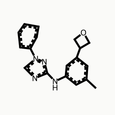 Cc1cc(Nc2ncn(-c3ccccc3)n2)cc(C2COC2)c1